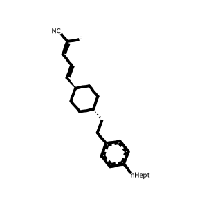 CCCCCCCc1ccc(CC[C@H]2CC[C@H](C=CC=C(F)C#N)CC2)cc1